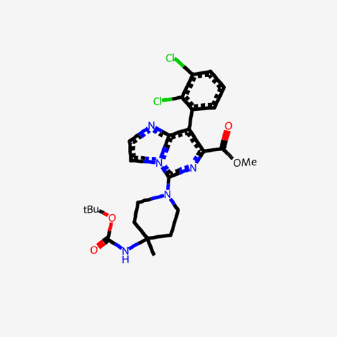 COC(=O)c1nc(N2CCC(C)(NC(=O)OC(C)(C)C)CC2)n2ccnc2c1-c1cccc(Cl)c1Cl